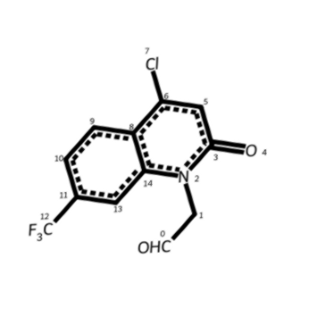 O=CCn1c(=O)cc(Cl)c2ccc(C(F)(F)F)cc21